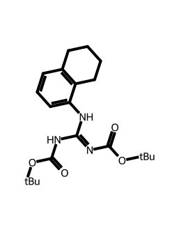 CC(C)(C)OC(=O)/N=C(/NC(=O)OC(C)(C)C)Nc1cccc2c1CCCC2